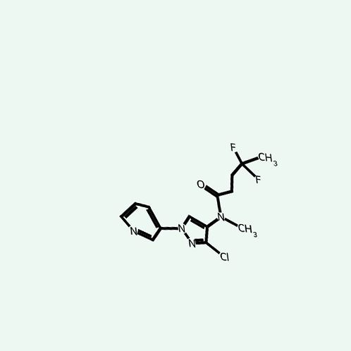 CN(C(=O)CCC(C)(F)F)c1cn(-c2cccnc2)nc1Cl